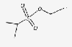 [CH2]COS(=O)(=O)C(C)C